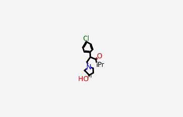 CC(C)C(=O)C(CN1CC[C@@H](O)C1)c1ccc(Cl)cc1